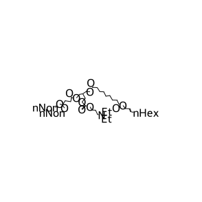 CCCCCCC=CCOC(=O)CCCCCCCC(=O)OCC(COC(=O)CCC(OCCCCCCCCC)OCCCCCCCCC)COC(=O)OCCCN(CC)CC